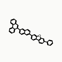 c1ccc(-c2ccc3c(c2)oc2cc(-c4ccc5cc(-c6cc7ccccc7c7ccccc67)ccc5c4)ccc23)cc1